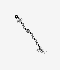 CC(C)(C)OC(=O)CCCOCCOCCOCCOCCN1CCN(CCOCCOCCNC(=O)OCc2ccccc2)CC1